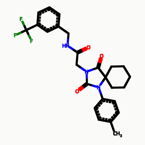 Cc1ccc(N2C(=O)N(CC(=O)NCc3cccc(C(F)(F)F)c3)C(=O)C23CCCCC3)cc1